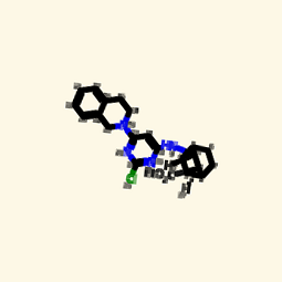 CCOC(=O)[C@@H]1C2CCC(CC2)[C@H]1Nc1cc(N2CCc3ccccc3C2)nc(Cl)n1